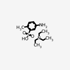 CCN(CC)CC.Cc1ccc(N)cc1S(=O)(=O)O